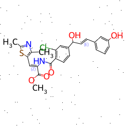 COC(=O)/C(=C/c1sc(C)nc1C)NC(=O)c1ccc(C(O)/C=C/c2cccc(O)c2)cc1Cl